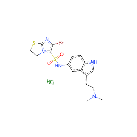 CN(C)CCc1c[nH]c2ccc(NS(=O)(=O)c3c(Br)nc4n3CCS4)cc12.Cl